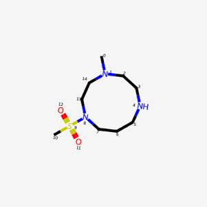 CN1CCNCCCN(S(C)(=O)=O)CC1